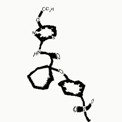 CS(=O)(=O)c1ccc(OC2(C(=O)Nc3nc(OC(=O)O)cs3)CCCCC2)cc1